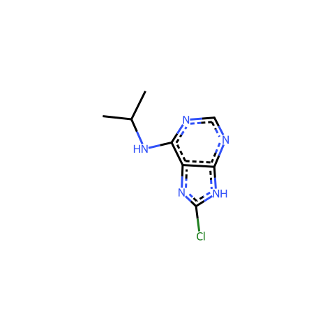 CC(C)Nc1ncnc2[nH]c(Cl)nc12